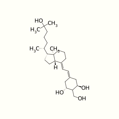 C[C@H](CCCC(C)(C)O)[C@H]1CC[C@H]2/C(=C/C=C3C[C@@H](O)C(CO)[C@H](O)C3)CCC[C@]12C